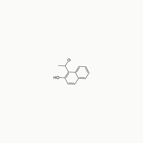 CC([O])c1c(O)ccc2ccccc12